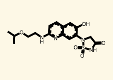 CC(C)OCCNc1ccc2cc(O)c(N3CC(=O)NS3(=O)=O)cc2n1